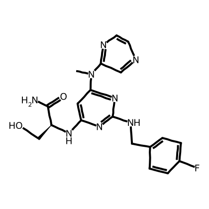 CN(c1cnccn1)c1cc(N[C@@H](CO)C(N)=O)nc(NCc2ccc(F)cc2)n1